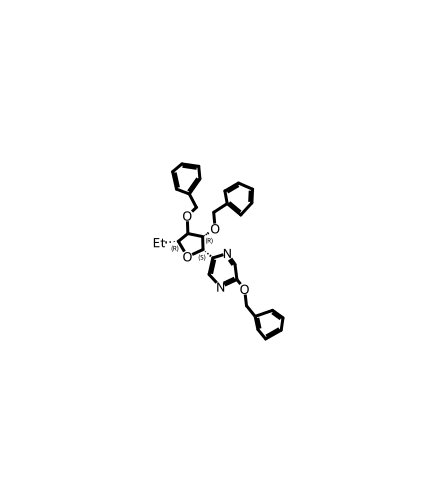 CC[C@H]1O[C@@H](c2cnc(OCc3ccccc3)cn2)[C@@H](OCc2ccccc2)C1OCc1ccccc1